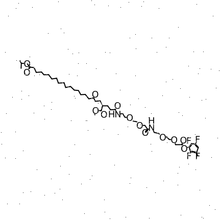 COC(=O)[C@@H](CCC(=O)CCCCCCCCCCCCCCCCC(=O)OC(C)C)CCC(=O)NCCOCCOCC(=O)NCCOCCOCC(=O)Oc1c(F)c(F)cc(F)c1F